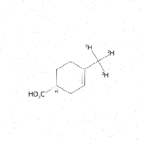 [2H]C([2H])([2H])C1=CC[C@H](C(=O)O)CC1